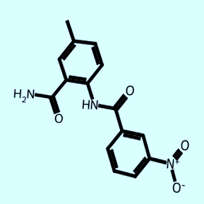 Cc1ccc(NC(=O)c2cccc([N+](=O)[O-])c2)c(C(N)=O)c1